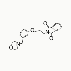 O=C1c2ccccc2C(=O)N1CCCOc1cccc(CN2CCOCC2)c1